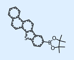 CC1(C)OB(c2ccc3sc4c(ccc5c6ccccc6ccc54)c3c2)OC1(C)C